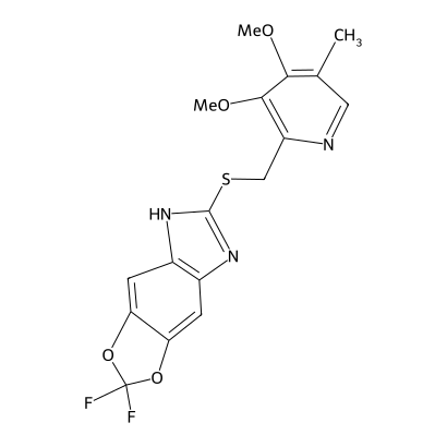 COc1c(C)cnc(CSc2nc3cc4c(cc3[nH]2)OC(F)(F)O4)c1OC